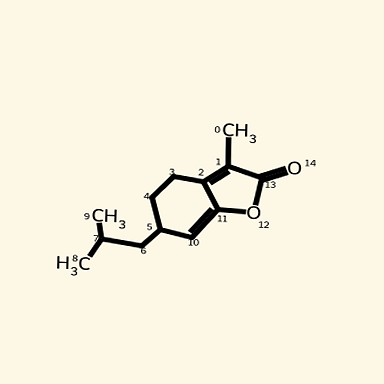 CC1=C2CCC(CC(C)C)C=C2OC1=O